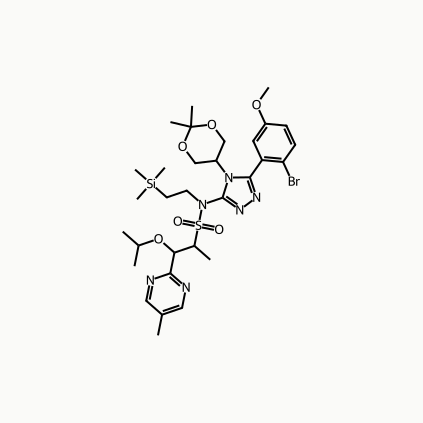 COc1ccc(Br)c(-c2nnc(N(CC[Si](C)(C)C)S(=O)(=O)C(C)C(OC(C)C)c3ncc(C)cn3)n2C2COC(C)(C)OC2)c1